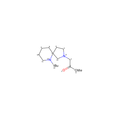 COC(=O)CN1CCC2(CCCCN2C(C)(C)C)C1